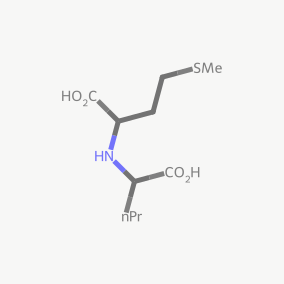 CCCC(NC(CCSC)C(=O)O)C(=O)O